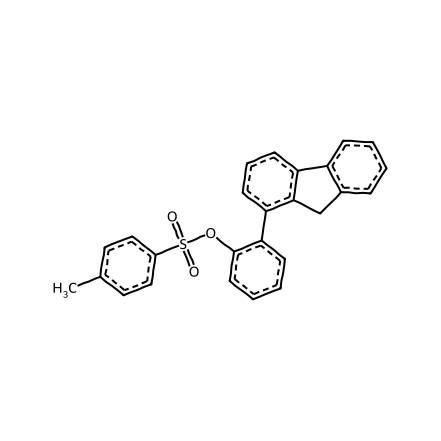 Cc1ccc(S(=O)(=O)Oc2ccccc2-c2cccc3c2Cc2ccccc2-3)cc1